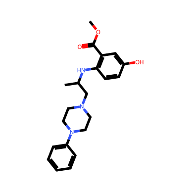 COC(=O)c1cc(O)ccc1NC(C)CN1CCN(c2ccccc2)CC1